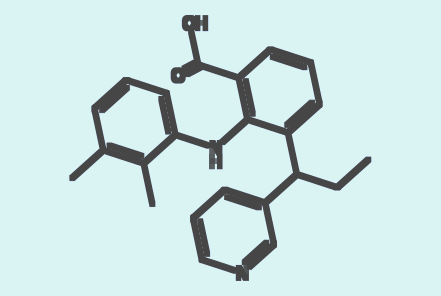 CCC(c1cccnc1)c1cccc(C(=O)O)c1Nc1cccc(C)c1C